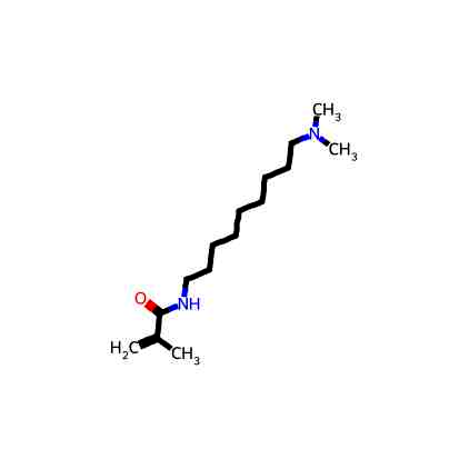 C=C(C)C(=O)NCCCCCCCCCN(C)C